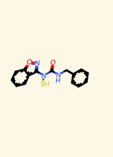 O=C(NCc1ccccc1)N(S)c1noc2ccccc12